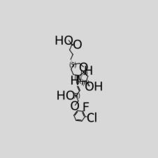 O=C(O)CCC[C@H]1CC[C@@H]2[C@@H](C=C[C@@H](O)COc3cccc(Cl)c3F)[C@H](O)C[C@@H]2OC1